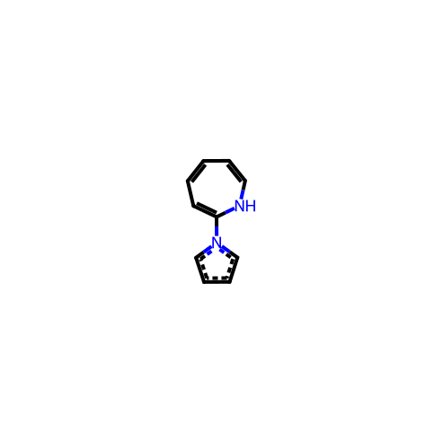 C1=CC=C(n2cccc2)NC=C1